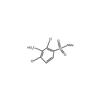 CNS(=O)(=O)c1ccc(Cl)c(C(=O)O)c1Cl